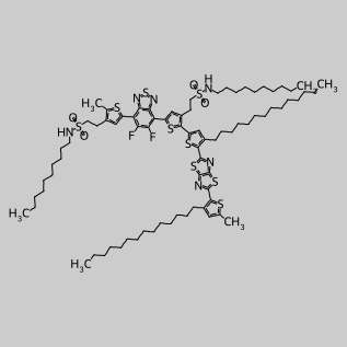 CCCCCCCCCCCCCCc1cc(C)sc1-c1nc2sc(-c3sc(-c4sc(-c5c(F)c(F)c(-c6cc(CCS(=O)(=O)NCCCCCCCCCC)c(C)s6)c6nsnc56)cc4CCS(=O)(=O)NCCCCCCCCCC)cc3CCCCCCCCCCCCCC)nc2s1